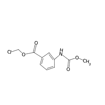 COC(=O)Nc1cccc(C(=O)OCCl)c1